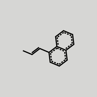 CC=Cc1cccc2ccccc12